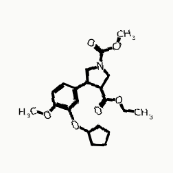 CCOC(=O)C1CN(C(=O)OC)CC1c1ccc(OC)c(OC2CCCC2)c1